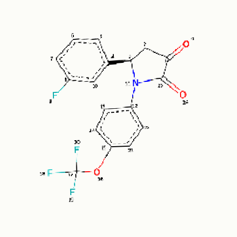 O=C1C[C@H](c2cccc(F)c2)N(c2ccc(OC(F)(F)F)cc2)C1=O